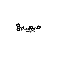 O=C(NC(Cc1nc2cc(C(=O)OCc3ccccc3)ccc2o1)C(=O)O)OCC1c2ccccc2-c2ccccc21